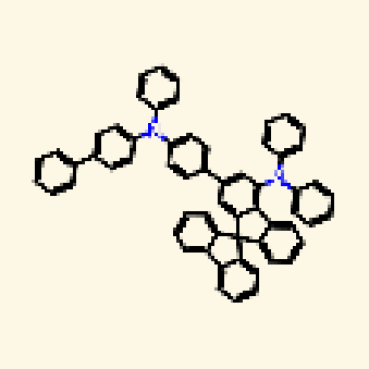 c1ccc(-c2ccc(N(c3ccccc3)c3ccc(-c4cc(N(c5ccccc5)c5ccccc5)c5c(c4)C4(c6ccccc6-c6ccccc64)c4ccccc4-5)cc3)cc2)cc1